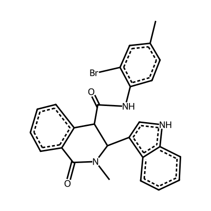 Cc1ccc(NC(=O)C2c3ccccc3C(=O)N(C)C2c2c[nH]c3ccccc23)c(Br)c1